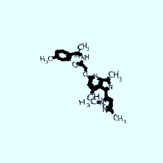 Cc1ccc([C@H](C)NC(=O)COc2cc(C)c3c(n2)C(C)N=C3c2cc(C)nn2C)cc1